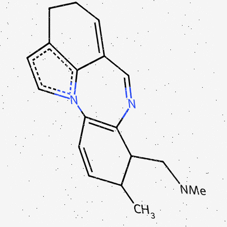 CNCC1C2=C(C=CC1C)n1ccc3c1C(=CCC3)C=N2